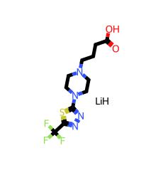 O=C(O)CCCN1CCN(c2nnc(C(F)(F)F)s2)CC1.[LiH]